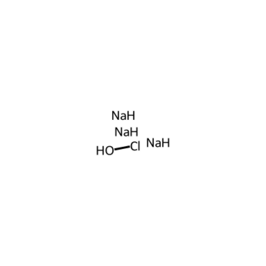 OCl.[NaH].[NaH].[NaH]